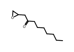 CCCCCCCC(=O)CC1CO1